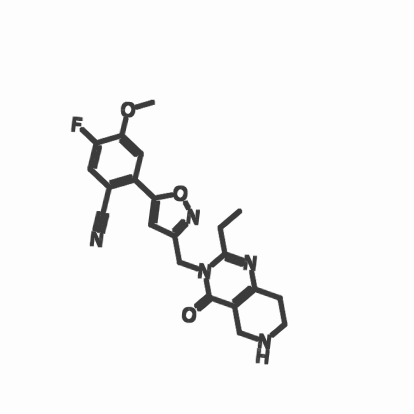 CCc1nc2c(c(=O)n1Cc1cc(-c3cc(OC)c(F)cc3C#N)on1)CNCC2